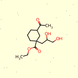 CCOC(=O)C1(CC(O)CO)CCCC(C(C)=O)C1